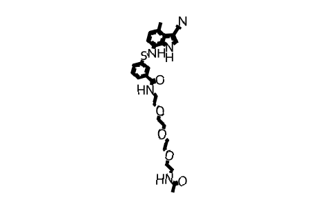 CC(=O)NCCOCCOCCOCCNC(=O)c1cccc(SNc2ccc(C)c3c(C#N)c[nH]c23)c1